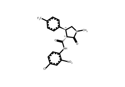 CN1C[C@H](c2ccc(C(F)(F)F)cc2)[C@@H](C(=O)Nc2ccc(Cl)cc2[N+](=O)[O-])C1=O